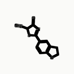 O=CC1SC(c2ccc3c(c2)CCO3)=NC1=O